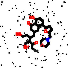 CC(=O)CC(=O)C(CO)C(CCO)CC1CC(=O)c2c(O)ccc(-c3ccc(CN4CCOCC4)o3)c2C1